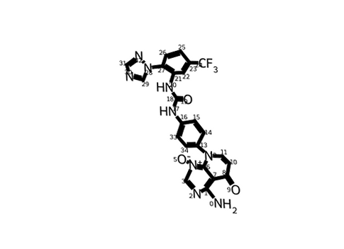 Nc1nc[n+]([O-])c2c1c(=O)ccn2-c1ccc(NC(=O)Nc2cc(C(F)(F)F)ccc2-n2cncn2)cc1